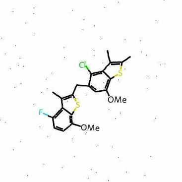 COc1ccc(F)c2c(C)c(Cc3cc(OC)c4sc(C)c(C)c4c3Cl)sc12